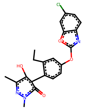 CCc1cc(Oc2nc3ccc(Cl)cc3o2)ccc1-c1c(O)c(C)nn(C)c1=O